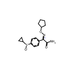 NC(=O)/C(=N/OC1CCCC1)c1ccc([S+]([O-])C2CC2)cc1